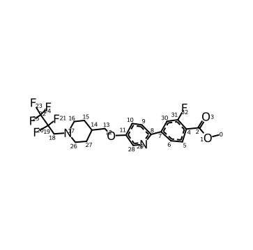 COC(=O)c1ccc(-c2ccc(OCC3CCN(CC(F)(F)C(F)(F)F)CC3)cn2)cc1F